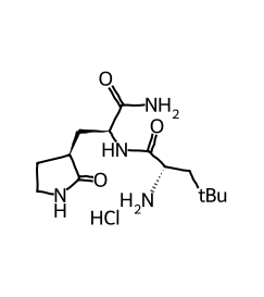 CC(C)(C)C[C@H](N)C(=O)N[C@@H](C[C@@H]1CCNC1=O)C(N)=O.Cl